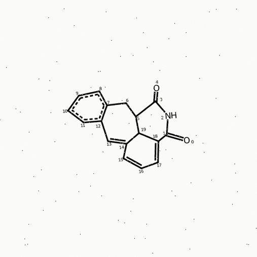 O=C1NC(=O)C2Cc3ccccc3C=C3C=CC=C1C32